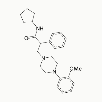 COc1ccccc1N1CCN(CC(C(=O)NC2CCCC2)c2ccccc2)CC1